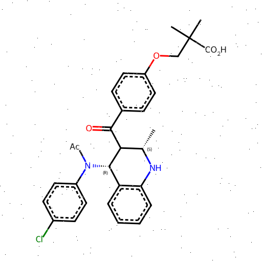 CC(=O)N(c1ccc(Cl)cc1)[C@H]1c2ccccc2N[C@@H](C)C1C(=O)c1ccc(OCC(C)(C)C(=O)O)cc1